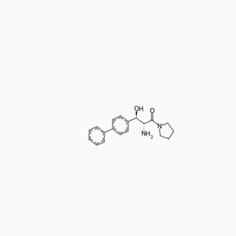 N[C@@H](C(=O)N1CCCC1)[C@H](O)c1ccc(-c2ccccc2)cc1